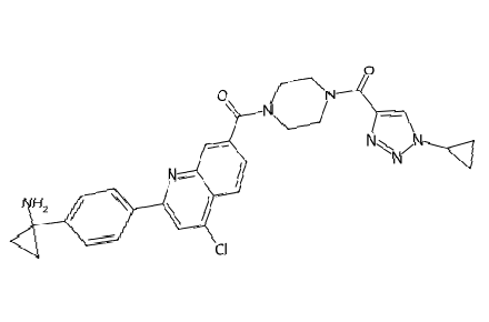 NC1(c2ccc(-c3cc(Cl)c4ccc(C(=O)N5CCN(C(=O)c6cn(C7CC7)nn6)CC5)cc4n3)cc2)CC1